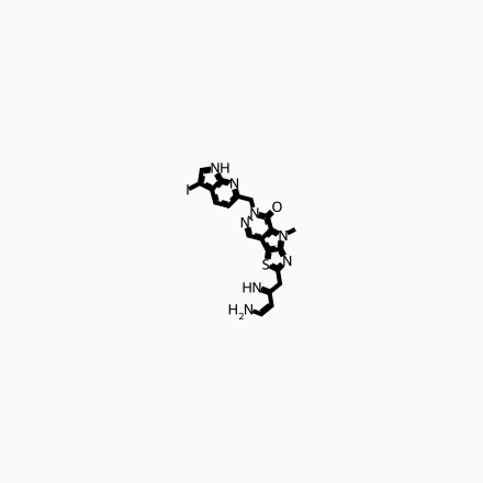 Cn1c2nc(CC(=N)/C=C\N)sc2c2cnn(Cc3ccc4c(I)c[nH]c4n3)c(=O)c21